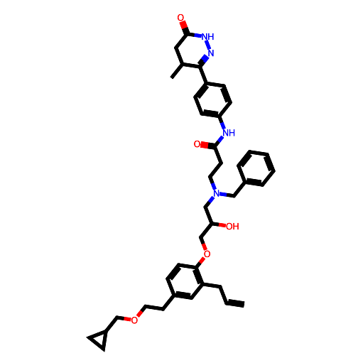 C=CCc1cc(CCOCC2CC2)ccc1OCC(O)CN(CCC(=O)Nc1ccc(C2=NNC(=O)CC2C)cc1)Cc1ccccc1